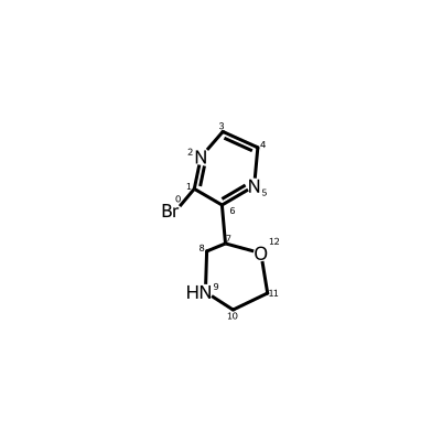 Brc1nccnc1C1CNCCO1